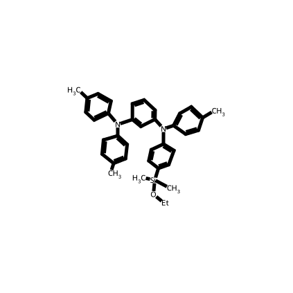 CCO[Si](C)(C)c1ccc(N(c2ccc(C)cc2)c2cccc(N(c3ccc(C)cc3)c3ccc(C)cc3)c2)cc1